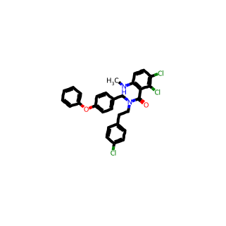 CNc1ccc(Cl)c(Cl)c1C(=O)N(CCc1ccc(Cl)cc1)Cc1ccc(Oc2ccccc2)cc1